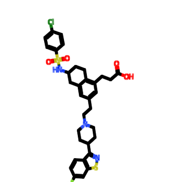 O=C(O)CCc1cc(CCN2CCC(c3nsc4cc(F)ccc34)CC2)cc2c1CCC(NS(=O)(=O)c1ccc(Cl)cc1)C2